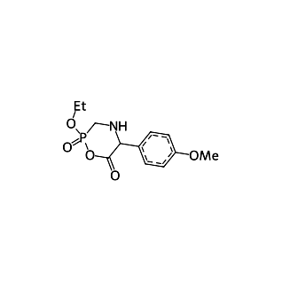 CCOP1(=O)CNC(c2ccc(OC)cc2)C(=O)O1